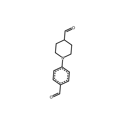 O=Cc1ccc(N2CCC(C=O)CC2)cc1